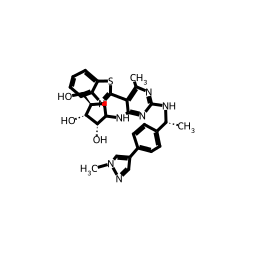 Cc1nc(N[C@H](C)c2ccc(-c3cnn(C)c3)cc2)nc(NC2C[C@H](CO)[C@@H](O)[C@H]2O)c1-c1nc2ccccc2s1